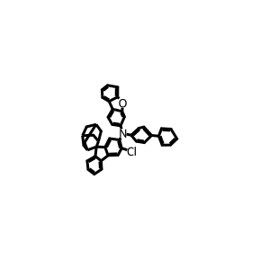 Clc1cc2c(cc1N(c1ccc(-c3ccccc3)cc1)c1ccc3c(c1)oc1ccccc13)C1(c3ccccc3-2)C2CC3CC(C2)CC1C3